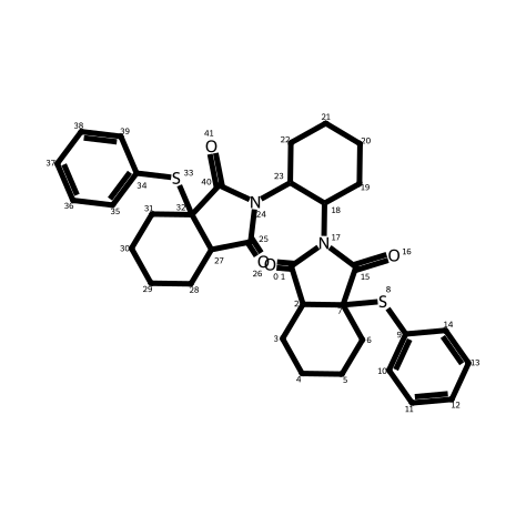 O=C1C2CCCCC2(Sc2ccccc2)C(=O)N1C1CCCCC1N1C(=O)C2CCCCC2(Sc2ccccc2)C1=O